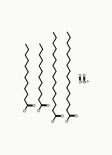 CCCCCCCCCCCC(=O)[O-].CCCCCCCCCCCC(=O)[O-].CCCCCCCCCCCCCCCC(=O)[O-].CCCCCCCCCCCCCCCC(=O)[O-].[O]=[Zr+2].[O]=[Zr+2]